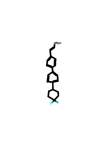 CCCCCCCCCC=Cc1ccc(-c2ccc(C3CCC(F)(F)CC3)cc2)cc1